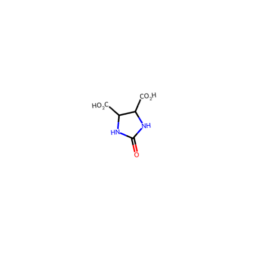 O=C1NC(C(=O)O)C(C(=O)O)N1